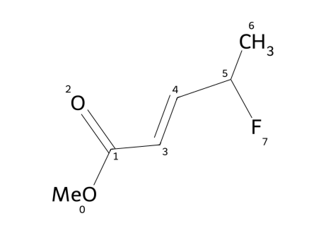 COC(=O)C=CC(C)F